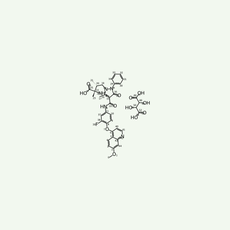 COc1ccc2c(Oc3ccc(NC(=O)c4c(C)n(C[C@@H](C)[C@](C)(N)C(=O)O)n(-c5ccccc5)c4=O)cc3F)ccnc2c1.O=C(O)C(O)C(O)C(=O)O